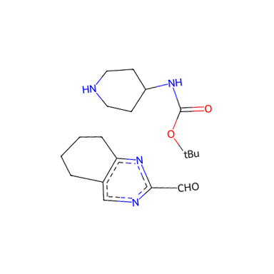 CC(C)(C)OC(=O)NC1CCNCC1.O=Cc1ncc2c(n1)CCCC2